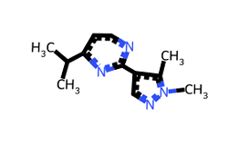 Cc1c(-c2nccc(C(C)C)n2)cnn1C